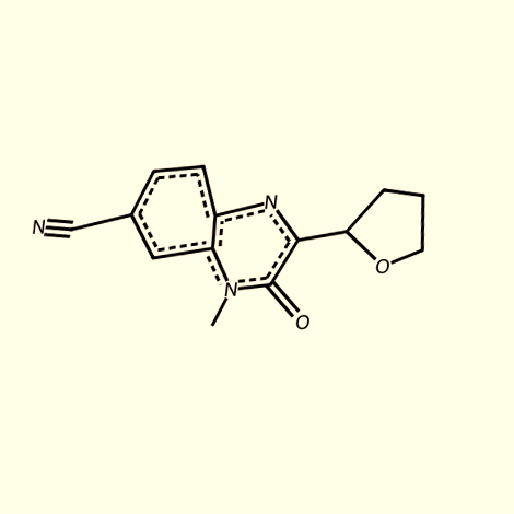 Cn1c(=O)c(C2CCCO2)nc2ccc(C#N)cc21